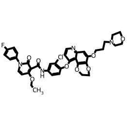 CCOc1ccn(-c2ccc(F)cc2)c(=O)c1C(=O)Nc1ccc(Oc2ccnc3cc(OCCCN4CCOCC4)c4c(c23)OCCO4)c(Cl)c1